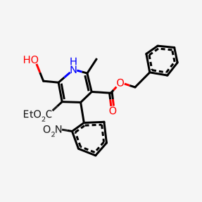 CCOC(=O)C1=C(CO)NC(C)=C(C(=O)OCc2ccccc2)C1c1ccccc1[N+](=O)[O-]